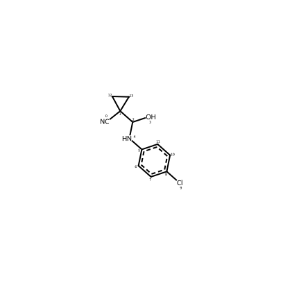 N#CC1(C(O)Nc2ccc(Cl)cc2)CC1